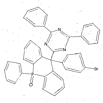 O=P1(c2ccccc2)c2ccccc2C(c2ccc(Br)cc2)(c2nc(-c3ccccc3)nc(-c3ccccc3)n2)c2ccccc21